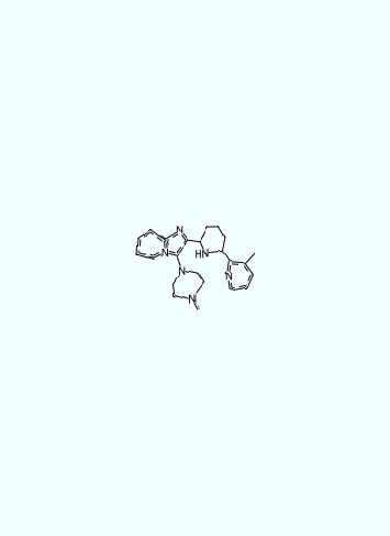 Cc1cccnc1C1CCCC(c2nc3ccccn3c2N2CCN(C)CC2)N1